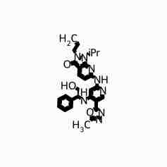 C=CCn1c(=O)c2ccc(Nc3cc(N[C@H](CO)c4ccccc4)c(-c4nnc(C)o4)cn3)nc2n1C(C)C